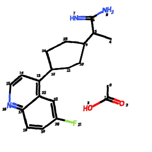 CC(=O)O.CC(C(=N)N)C1CCC(c2ccnc3ccc(F)cc23)CC1